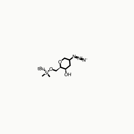 CC(C)(C)[Si](C)(C)OC[C@H]1OCC(N=[N+]=[N-])C[C@H]1O